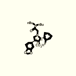 CCCCN(CCCC)C(=O)CN1C[C@H](c2ccc3c(c2)OCO3)[C@H](C(=O)O)[C@H]1c1ccccc1F